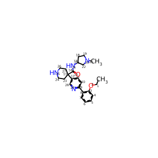 CCOc1ccccc1-c1ccc(C2(C(=O)N[C@H]3CCN(C)C3)CCNCC2)cn1